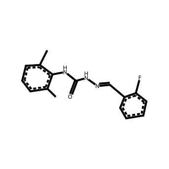 Cc1cccc(C)c1NC(=O)N/N=C/c1ccccc1F